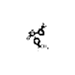 CC(C)c1ccc(N2C(=O)CSC2c2cccc(C(F)(F)F)c2)cc1